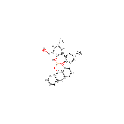 Cc1ccc2op(Oc3c4ccccc4cc4ccccc34)oc3c(CO)cc(C)cc3c2c1